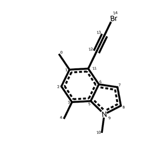 Cc1cc(C)c2c(ccn2C)c1C#CBr